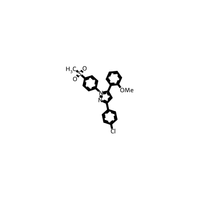 COc1ccccc1-c1cc(-c2ccc(Cl)cc2)nn1-c1ccc(S(C)(=O)=O)cc1